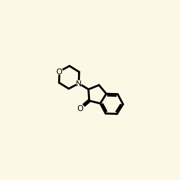 O=C1c2ccccc2CC1N1CCOCC1